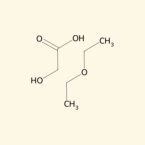 CCOCC.O=C(O)CO